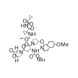 C=C[C@@H]1C[C@]1(NC(=O)[C@@H]1CC(Oc2nccc3cc(OC)ccc23)CN1C(=O)[C@H](CC(=O)N1C[C@H]2C[C@@H]1C(=O)O2)NC(=O)OC(C)(C)C)C(=O)NS(=O)(=O)C1CC1